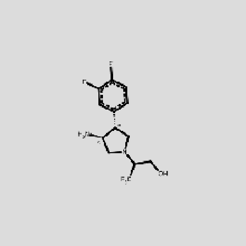 N[C@@H]1CN(C(CO)C(F)(F)F)C[C@H]1c1ccc(F)c(F)c1